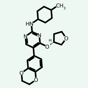 CC1CCC(Nc2ncc(-c3ccc4c(c3)OCCO4)c(O[C@@H]3CCOC3)n2)CC1